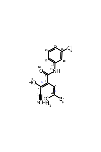 C#C/C(O)=C(\C=C(/C)Br)C(=O)Nc1cccc(Cl)c1